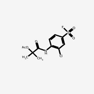 CC(=O)OC(C)(C)C(=O)Nc1ccc(S(=O)(=O)F)cc1Cl